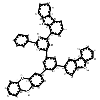 c1ccc(-c2nc(-c3cc(-c4ccc5c(c4)Oc4ccccc4O5)cc(-c4ccc5oc6ccccc6c5c4)c3)cc(-c3cccc4c3oc3ccccc34)n2)cc1